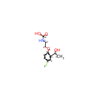 CC(O)c1cc(F)ccc1OCCNC(=O)O